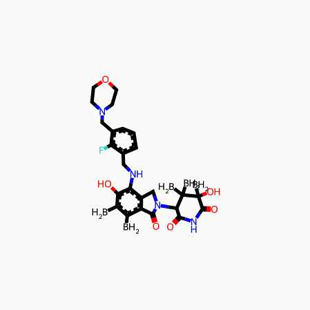 Bc1c(B)c2c(c(NCc3cccc(CN4CCOCC4)c3F)c1O)CN(C1C(=O)NC(=O)C(B)(O)C1(B)B)C2=O